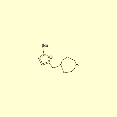 CC(C)(C)c1ccc(CN2CCCOCC2)o1